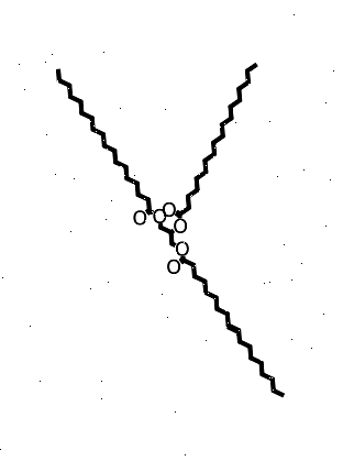 CCCCCCCCC=CCCCCCCCC(=O)OCC(COC(=O)CCCCCCCCCCCCCCCCC)OC(=O)CCCCCCCCCCCCCCCCC